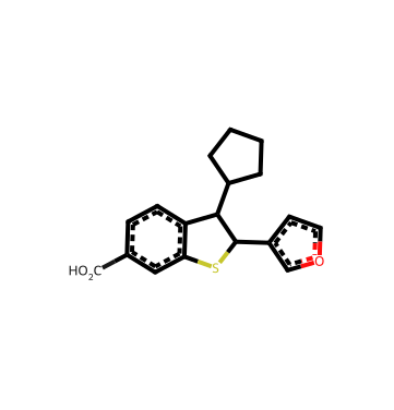 O=C(O)c1ccc2c(c1)SC(c1ccoc1)C2C1CCCC1